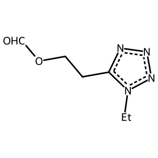 CCn1nnnc1CCOC=O